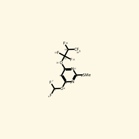 CSc1nc(OC(F)F)cc(OC(F)(F)C(F)C(F)(F)F)n1